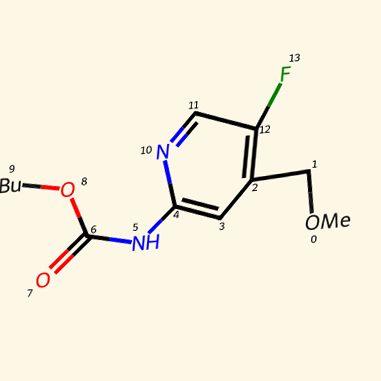 COCc1cc(NC(=O)OC(C)(C)C)ncc1F